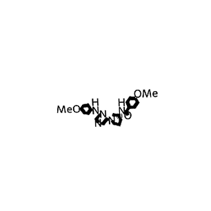 COc1ccc(Nc2cncc(N3CCC[C@@H](NC(=O)c4ccc(OC)cc4)C3)n2)cc1